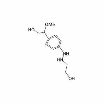 COC(CO)c1ccc(NNCCO)cc1